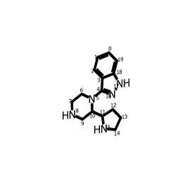 c1ccc2c(N3CCNCC3C3CCCN3)n[nH]c2c1